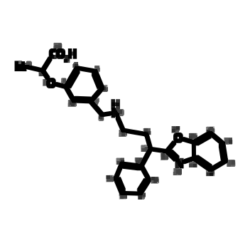 CCC(Oc1cccc(CNCCC(c2ccccc2)c2nc3ccccc3o2)c1)C(=O)O